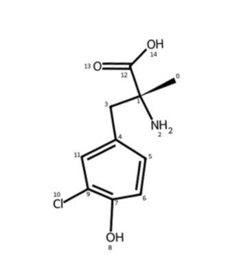 C[C@@](N)(Cc1ccc(O)c(Cl)c1)C(=O)O